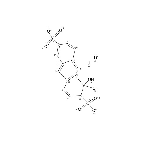 O=S(=O)([O-])c1ccc2cc3c(cc2c1)C=CC(S(=O)(=O)[O-])C3(O)O.[Li+].[Li+]